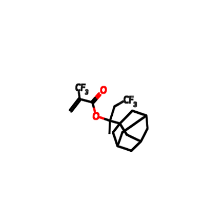 C=C(C(=O)OC(C)(CC(F)(F)F)C12CC3CC(CC(C3)C1)C2)C(F)(F)F